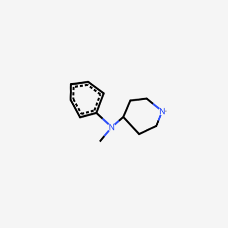 CN(c1ccccc1)C1CC[N]CC1